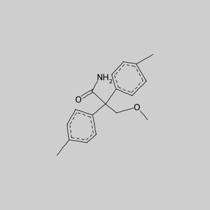 COCC(C(N)=O)(c1ccc(C)cc1)c1ccc(C)cc1